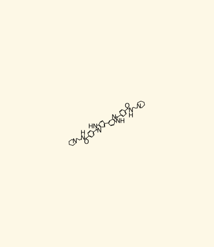 O=C(NCCN1CCCCC1)c1ccc(-c2nc3cc(-c4ccc5[nH]c(-c6ccc(C(=O)NCCN7CCCCC7)cc6)nc5c4)ccc3[nH]2)cc1